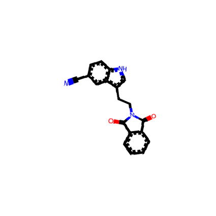 N#Cc1ccc2[nH]cc(CCN3C(=O)c4ccccc4C3=O)c2c1